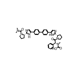 CN(C)C(=O)N1CCC[C@H]1c1ncc(-c2ccc(-c3ccc(-c4cnc([C@@H]5CCCN5C(=O)[C@@H](c5ccccc5)N(C)C(=O)O)[nH]4)cc3)cc2)[nH]1